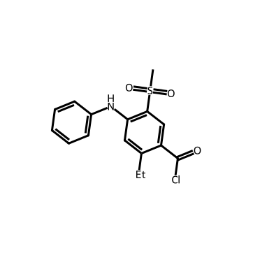 CCc1cc(Nc2ccccc2)c(S(C)(=O)=O)cc1C(=O)Cl